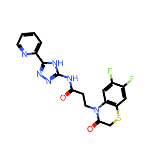 O=C(CCN1C(=O)CSc2cc(F)c(F)cc21)Nc1nnc(-c2ccccn2)[nH]1